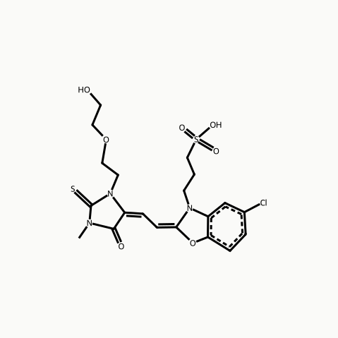 CN1C(=O)C(=CC=C2Oc3ccc(Cl)cc3N2CCCS(=O)(=O)O)N(CCOCCO)C1=S